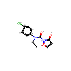 CCN(C(=O)n1occc1=O)c1ccc(Cl)cc1